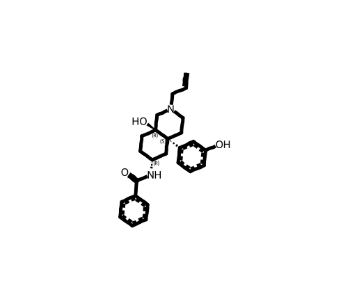 C=CCN1CC[C@@]2(c3cccc(O)c3)C[C@H](NC(=O)c3ccccc3)CC[C@]2(O)C1